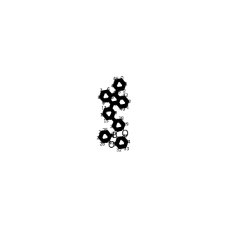 c1ccc(-c2c3ccccc3c(-c3cccc(-c4ccc5c(c4)B4c6ccccc6Oc6cccc(c64)O5)c3)c3ccccc23)cc1